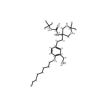 CCCCCCCCOc1ccc(CCC2(NC(=O)OC(C)(C)C)COC(C)(C)OC2)cc1CO